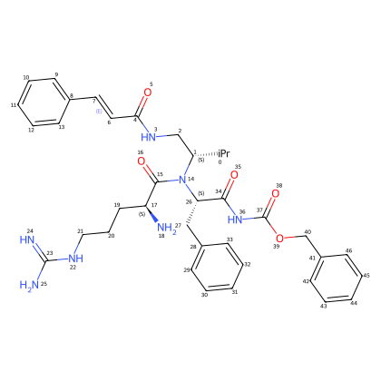 CC(C)[C@@H](CNC(=O)/C=C/c1ccccc1)N(C(=O)[C@@H](N)CCCNC(=N)N)[C@@H](Cc1ccccc1)C(=O)NC(=O)OCc1ccccc1